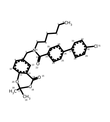 CCCCCCN(Cc1ccc2c(c1)C(=O)OC(C)(C)O2)C(=O)c1ccc(-c2ccc(Cl)cc2)cc1